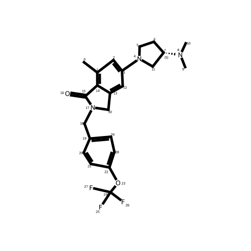 Cc1cc(N2CC[C@H](N(C)C)C2)cc2c1C(=O)N(Cc1ccc(OC(F)(F)F)cc1)C2